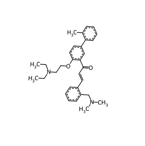 CCN(CC)CCOc1ccc(-c2ccccc2C)cc1C(=O)C=Cc1ccccc1CN(C)C